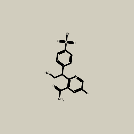 CCS(=O)(=O)c1ccc(C(CO)c2ncc(F)cc2C(N)=O)cc1